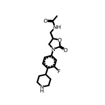 CC(=O)NCC1CN(c2ccc(C3CCNCC3)c(F)c2)C(=O)O1